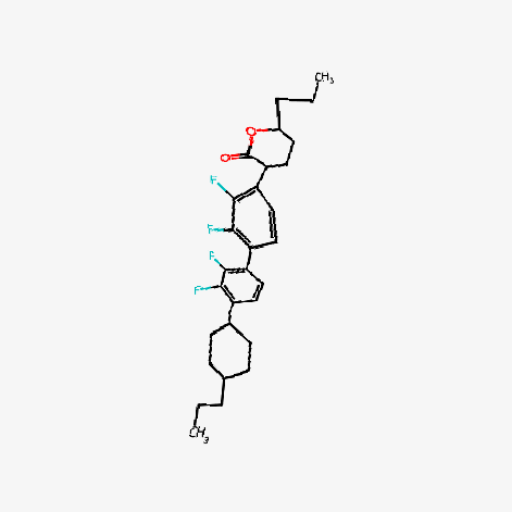 CCCC1CCC(c2ccc(-c3ccc(C4CCC(CCC)OC4=O)c(F)c3F)c(F)c2F)CC1